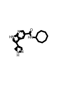 O=C(NC1CCCCCCC1)c1cnc2[nH]cc(-c3cn[nH]c3)c2c1